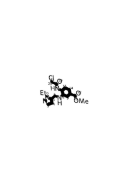 CCn1nccc1CNc1cc(C(=O)OC)ccc1NC(=O)CCl